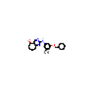 N#Cc1cc(Nc2ncc3c(n2)CCCCC3=O)cc(OCC2CCCCC2)c1